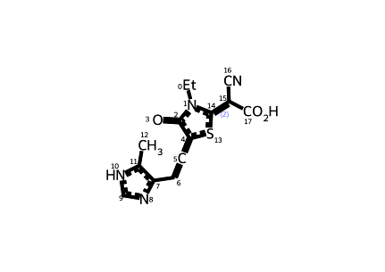 CCn1c(=O)c(=C=Cc2nc[nH]c2C)s/c1=C(/C#N)C(=O)O